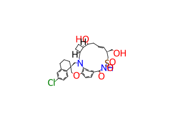 O=C1NS(=O)(=O)C[C@H](CO)/C=C/C[C@H](O)[C@@H]2CC[C@H]2CN2C[C@@]3(CCCc4cc(Cl)ccc43)COc3ccc1cc32